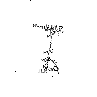 CC[C@@H](NC(=O)[C@@H]1C[C@H](NCCCCCCCCC(=O)NCCn2nc3c(c2C#N)-c2cnc(N)c(c2)O[C@H](C)c2cc(F)ccc2C(=O)N(C)C3)CN1C(=O)[C@@H](NC(=O)[C@H](C)NC)C(C)(C)C)c1ccccc1